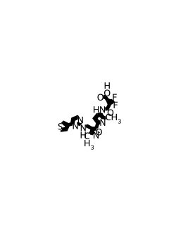 Cc1nc(-c2onc(C)c2CNc2nccc(-c3ccsc3)n2)ccc1NC(=O)C1C(C(=O)O)C1(F)F